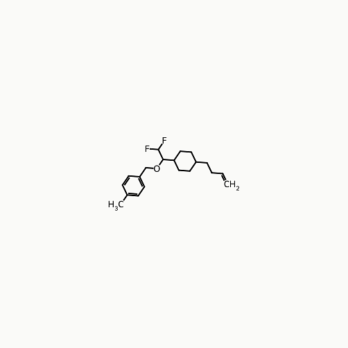 C=CCCC1CCC(C(OCc2ccc(C)cc2)C(F)F)CC1